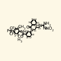 Cc1cc(C(F)(C(F)(F)F)C(F)(F)F)cc(C)c1NC(=O)c1cccc(N(CCCNC(N)=N[N+](=O)[O-])C(=O)c2ccccc2)c1